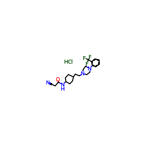 Cl.N#CCC(=O)NC1CCC(CCN2CCN(c3ccccc3C(F)(F)F)CC2)CC1